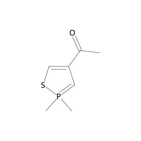 CC(=O)C1=CSP(C)(C)=C1